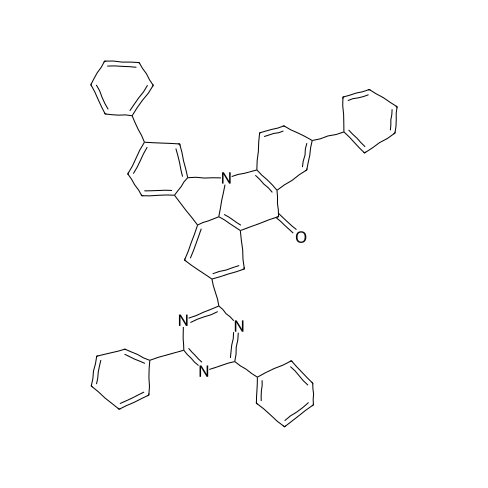 O=c1c2cc(-c3ccccc3)ccc2n2c3cc(-c4ccccc4)ccc3c3cc(-c4nc(-c5ccccc5)nc(-c5ccccc5)n4)cc1c32